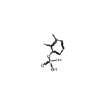 Cc1cccc(OP(=O)(O)O)c1C